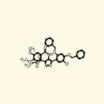 CCNC(=O)c1noc(-c2cc(Cl)c(OCc3ccccc3)cc2OCc2ccccc2)c1NC(=O)c1ccc(OC)c(OC)c1